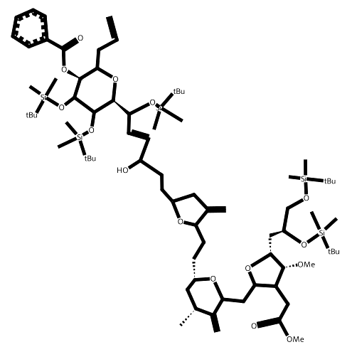 C=CCC1O[C@@H](C(/C=C/C(O)CCC2CC(=C)C(CC[C@H]3C[C@@H](C)C(=C)C(CC4O[C@H](C[C@@H](CO[Si](C)(C)C(C)(C)C)O[Si](C)(C)C(C)(C)C)[C@H](OC)C4CC(=O)OC)O3)O2)O[Si](C)(C)C(C)(C)C)C(O[Si](C)(C)C(C)(C)C)C(O[Si](C)(C)C(C)(C)C)[C@H]1OC(=O)c1ccccc1